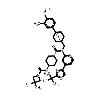 COc1ccc(C23CCC(CN(c4cc(-c5coc(C(C)(C)C)n5)ccn4)C(=O)[C@H]4CC[C@H](OC(=O)N5CC(C)(C)C5)CC4)(CC2)CC3)cc1C